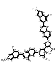 CN[C@H]1CN(c2cnc3nc(-c4cc(F)c5nc(C)cn5c4)ncc3c2)CC1C1CN(c2cnc3nc(-c4cc(F)c5nn(C)cc5c4)cc(Cl)c3c2)CC(C)N1